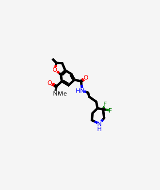 CNC(=O)c1cc(C(=O)NCCCC2CCNCC2(F)F)cc2c1OC(C)C2